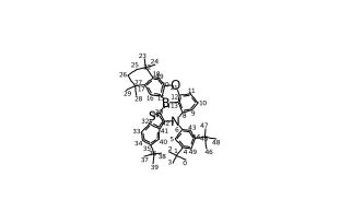 CC(C)(C)c1cc(N2c3cccc4c3B(c3cc5c(cc3O4)C(C)(C)CCC5(C)C)c3sc4ccc(C(C)(C)C)cc4c32)cc(C(C)(C)C)c1